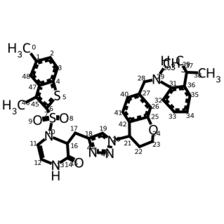 Cc1ccc2sc(S(=O)(=O)N3C=CNC(=O)C3Cc3cn(C4CCOc5cc(CN(C)c6ccccc6C(C)C)ccc54)nn3)c(C)c2c1